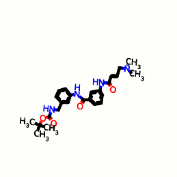 CN(C)C/C=C/C(=O)Nc1cccc(C(=O)Nc2cccc(CNC(=O)OC(C)(C)C)c2)c1